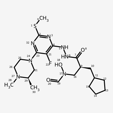 CSc1nc(NNC(=O)[C@@H](CC2CCCC2)CN(O)C=O)c(F)c(N2CCN(C)[C@H](C)C2)n1